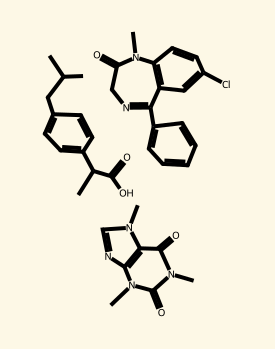 CC(C)Cc1ccc(C(C)C(=O)O)cc1.CN1C(=O)CN=C(c2ccccc2)c2cc(Cl)ccc21.Cn1c(=O)c2c(ncn2C)n(C)c1=O